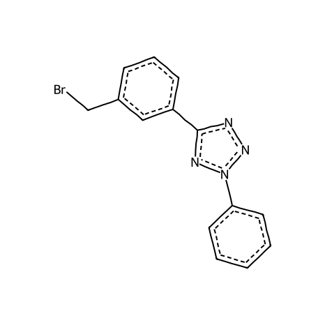 BrCc1cccc(-c2nnn(-c3ccccc3)n2)c1